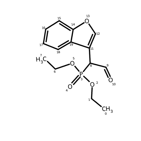 CCOP(=O)(OCC)C(C=O)c1coc2ccccc12